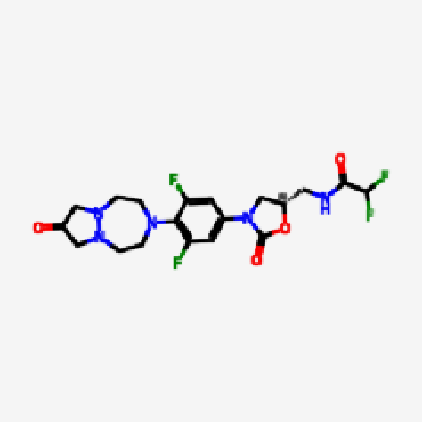 O=C1CN2CCN(c3c(F)cc(N4C[C@H](CNC(=O)C(F)F)OC4=O)cc3F)CCN2C1